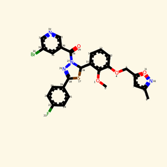 COc1c(OCc2cc(C)no2)cccc1C1SC(c2ccc(F)cc2)=NN1C(=O)c1cncc(Br)c1